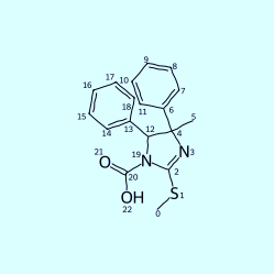 CSC1=NC(C)(c2ccccc2)C(c2ccccc2)N1C(=O)O